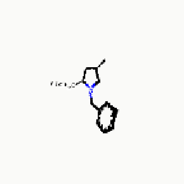 C[C@@H]1C[C@H](C(=O)O)N(Cc2ccccc2)C1